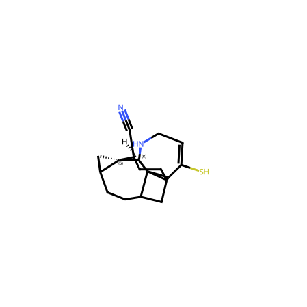 N#CC1CCC23CC4CCC5C[C@@]15[C@H]1NCC=C(S)C2C413